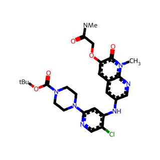 CNC(=O)COc1cc2cc(Nc3cc(N4CCN(C(=O)OC(C)(C)C)CC4)ncc3Cl)cnc2n(C)c1=O